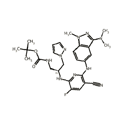 CN(C)c1nn(C)c2ccc(Nc3nc(N[C@@H](CNC(=O)OC(C)(C)C)Cn4cccn4)c(F)cc3C#N)cc12